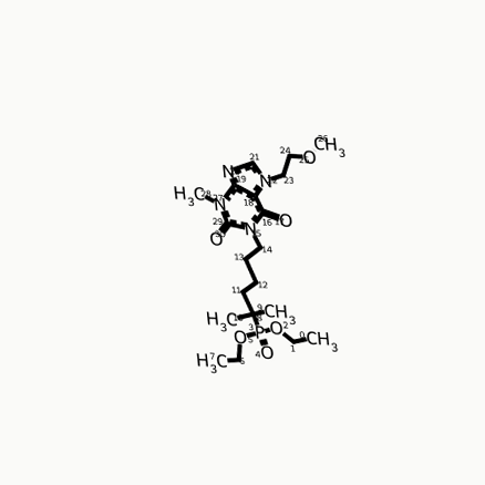 CCOP(=O)(OCC)C(C)(C)CCCCn1c(=O)c2c(ncn2CCOC)n(C)c1=O